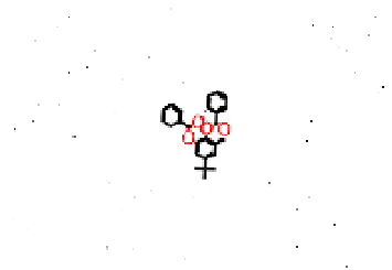 Cc1cc(C(C)(C)C)cc(OC(=O)C2C=CC=CC2)c1OC(=O)c1ccccc1